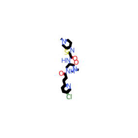 CN1CCc2nc(C(=O)NC(CNC(=O)/C=C/c3ccc(Cl)cn3)C(=O)N(C)C)sc2C1